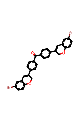 O=C(c1ccc(C2=Cc3cc(Br)ccc3OC2)cc1)c1ccc(C2=Cc3cc(Br)ccc3OC2)cc1